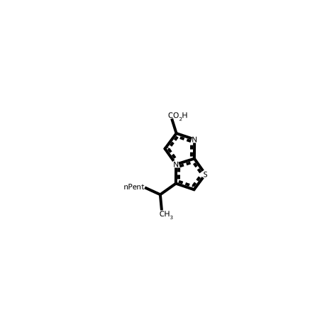 CCCCCC(C)c1csc2nc(C(=O)O)cn12